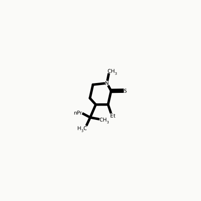 CCCC(C)(C)C1CCN(C)C(=S)C1CC